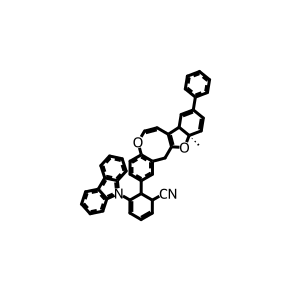 C[C@@]12C=CC(c3ccccc3)=CC1C1=C(Cc3cc(C4C(n5c6ccccc6c6ccccc65)=CC=CC4C#N)ccc3O/C=C\1)O2